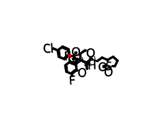 O=S1(=O)CCCC1CC[C@@H]1OCC[C@@]2(S(=O)(=O)c3ccc(Cl)cc3)c3c(F)ccc(F)c3OC[C@@H]12